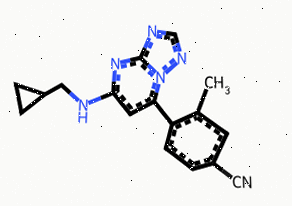 Cc1cc(C#N)ccc1-c1cc(NCC2CC2)nc2ncnn12